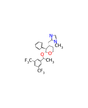 CC(O[C@H]1OCC[C@@H](Cc2nccn2C)[C@@H]1c1ccccc1)c1cc(C(F)(F)F)cc(C(F)(F)F)c1